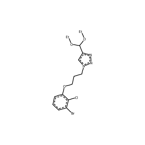 CCOC(OCC)c1cn(CCCOc2cccc(Br)c2Cl)nn1